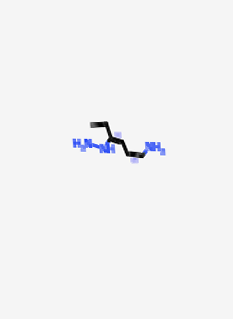 C=C/C(=C/C=C\N)NN